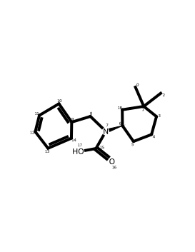 CC1(C)CCC[C@@H](N(Cc2ccccc2)C(=O)O)C1